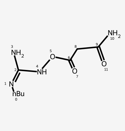 CCCCN=C(N)NOC(=O)CC(N)=O